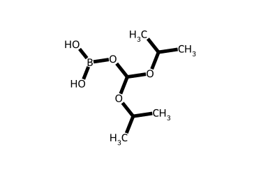 CC(C)OC(OB(O)O)OC(C)C